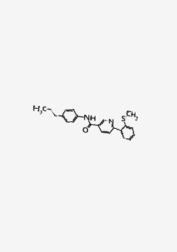 CCCc1ccc(NC(=O)c2ccc(-c3ccccc3SC)nc2)cc1